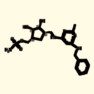 Cc1nc(NCc2ccccc2)cc(NC[C@@H]2C[C@H](COS(N)(=O)=O)[C@@H](O)[C@H]2O)n1